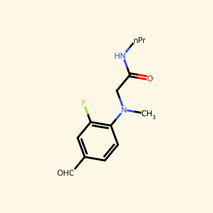 CCCNC(=O)CN(C)c1ccc(C=O)cc1F